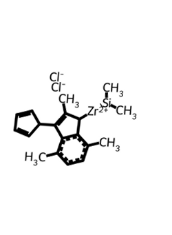 CC1=C(C2C=CC=C2)c2c(C)ccc(C)c2[CH]1[Zr+2]=[Si](C)C.[Cl-].[Cl-]